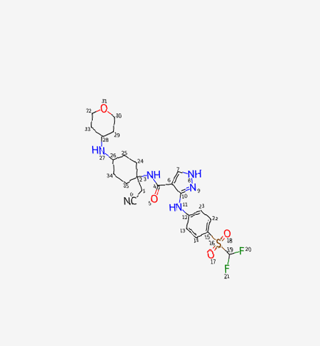 N#CCC1(NC(=O)c2c[nH]nc2Nc2ccc(S(=O)(=O)C(F)F)cc2)CCC(NC2CCOCC2)CC1